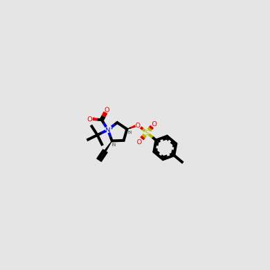 C#C[C@@H]1C[C@H](OS(=O)(=O)c2ccc(C)cc2)C[N+]1(C(=O)[O-])C(C)(C)C